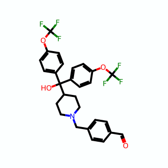 O=Cc1ccc(CN2CCC(C(O)(c3ccc(OC(F)(F)F)cc3)c3ccc(OC(F)(F)F)cc3)CC2)cc1